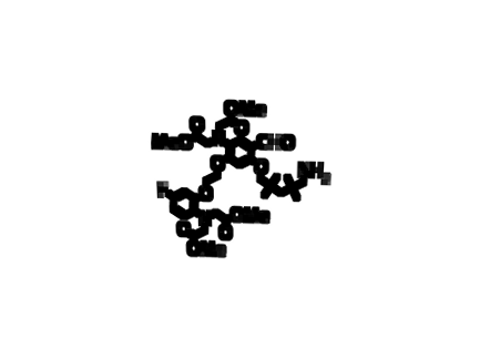 COC(=O)CN(CC(=O)OC)c1ccc(F)cc1OCCOc1cc(OCC(C)(C)CC(C)(C)CN)c(C=O)cc1N(CC(=O)OC)CC(=O)OC